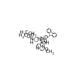 COc1ccc2nccc([C@@H](O)[C@H](NC(=O)OCC3c4ccccc4-c4ccccc43)[C@H]3CC[C@H](NC(=O)OC(C)(C)C)CC3)c2n1